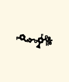 CS(=O)(=O)NC(=O)c1cc(C2CC2)c(OCC2CN(Cc3cccc(F)c3)C2)cc1F